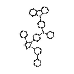 c1ccc(-c2cccc(-c3nnc(-c4ccccc4)n3-c3ccc(N(c4ccccc4)c4ccc(-n5c6ccccc6c6ccccc65)cc4)cc3)c2)cc1